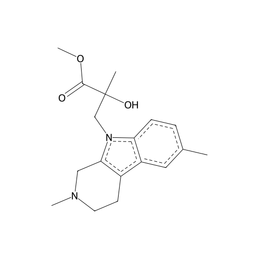 COC(=O)C(C)(O)Cn1c2c(c3cc(C)ccc31)CCN(C)C2